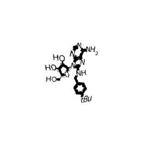 CC(C)(C)c1ccc(CNc2nc3c(N)ncnc3n2[C@@H]2O[C@H](CO)[C@@H](O)[C@H]2O)cc1